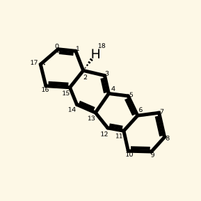 [C]1=C[C@H]2C=c3cc4ccccc4cc3=CC2=C[CH]1